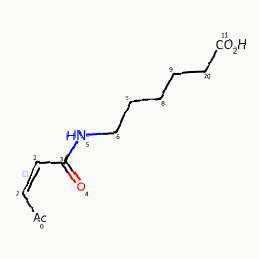 CC(=O)/C=C\C(=O)NCCCCCC(=O)O